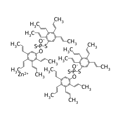 CC=Cc1cc(OP([O-])(=S)Sc2cc(C=CC)c(C=CC)c(C=CC)c2C=CC)c(C=CC)c(C=CC)c1C=CC.CC=Cc1cc(OP([O-])(=S)Sc2cc(C=CC)c(C=CC)c(C=CC)c2C=CC)c(C=CC)c(C=CC)c1C=CC.[Zn+2]